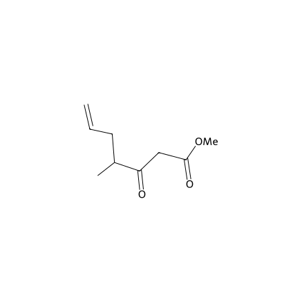 C=CCC(C)C(=O)CC(=O)OC